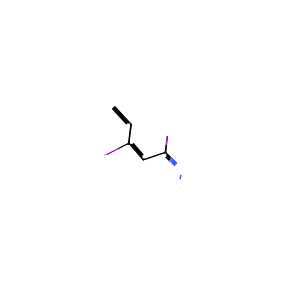 C=C/C(I)=C\C(I)=N/N